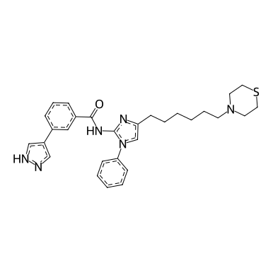 O=C(Nc1nc(CCCCCCN2CCSCC2)cn1-c1ccccc1)c1cccc(-c2cn[nH]c2)c1